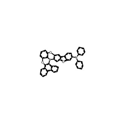 c1ccc(N(c2ccccc2)c2ccc3c(c2)oc2cc4c(cc23)Oc2cccc3c2B4c2c(c4ccccc4c4ccccc24)O3)cc1